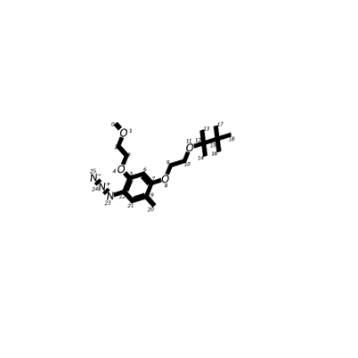 COCCOc1cc(OCCOC(C)(C)C(C)(C)C)c(C)cc1N=[N+]=[N-]